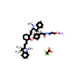 CCCN1/C(=C\C=C2/CCCC(/C=C/C3=[N+](CCC)c4ccccc4C3(C)C)=C2Oc2ccc(CC(=O)NCCCON)cc2)C(C)(C)c2ccccc21.O=C([O-])C(F)(F)F